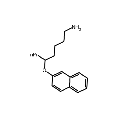 CCCC(CCCCN)Oc1ccc2ccccc2c1